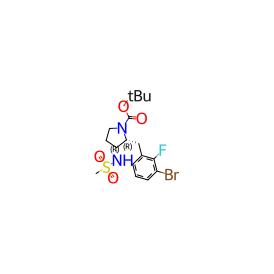 CC(C)(C)OC(=O)N1CC[C@@H](NS(C)(=O)=O)[C@H]1Cc1cccc(Br)c1F